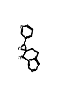 O=C1c2ccccc2CCC12OC2c1cccnc1